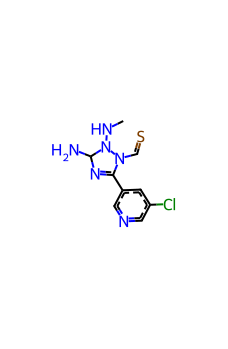 CNN1C(N)N=C(c2cncc(Cl)c2)N1C=S